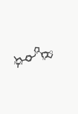 Cc1cc(-c2ccc(CN3CCC[C@H]3c3cnc4c(c3)OCC4)cc2)nc(C)n1